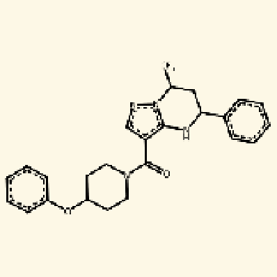 O=C(c1cnn2c1NC(c1ccccc1)CC2C(F)(F)F)N1CCC(Oc2ccccc2)CC1